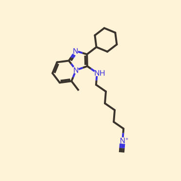 C#[N+]CCCCCCNc1c(C2CCCCC2)nc2cccc(C)n12